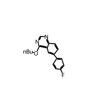 CCCCOc1ncnc2ccc(-c3ccc(F)cc3)cc12